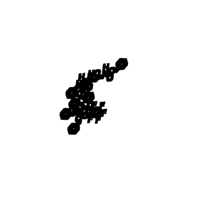 N[C@@H](C[C@@H](O)CNC(=O)OCc1ccccc1)C(=O)N[C@@H](Cc1cccc(-c2ccc(OCc3ccccc3)c(C[C@H](NC(=O)OCc3ccccc3)C(=O)Oc3c(F)c(F)c(F)c(F)c3F)c2)c1)C(=O)OCc1ccccc1